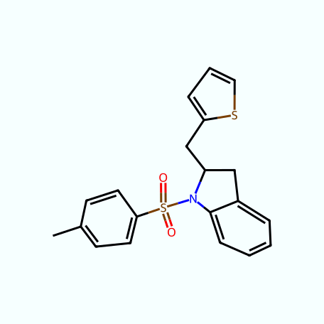 Cc1ccc(S(=O)(=O)N2c3ccccc3CC2Cc2cccs2)cc1